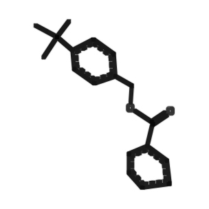 CC(C)(C)c1ccc(COC(=O)c2ccccc2)cc1